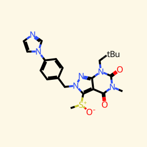 Cn1c(=O)c2c([S+](C)[O-])n(Cc3ccc(-n4ccnc4)cc3)nc2n(CC(C)(C)C)c1=O